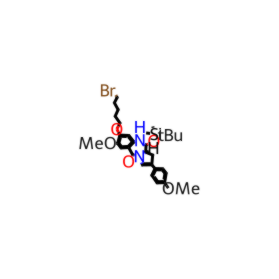 COc1ccc(C2=CN3C(=O)c4cc(OC)c(OCCCCCBr)cc4NC(O[Si](C)(C)C(C)(C)C)[C@@H]3C2)cc1